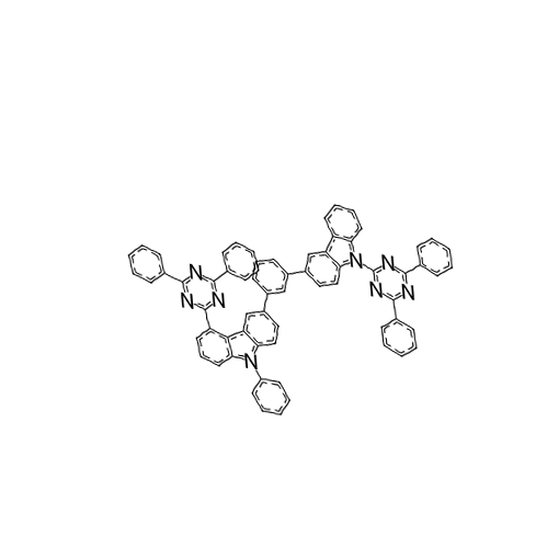 c1ccc(-c2nc(-c3ccccc3)nc(-c3cccc4c3c3cc(-c5cccc(-c6ccc7c(c6)c6ccccc6n7-c6nc(-c7ccccc7)nc(-c7ccccc7)n6)c5)ccc3n4-c3ccccc3)n2)cc1